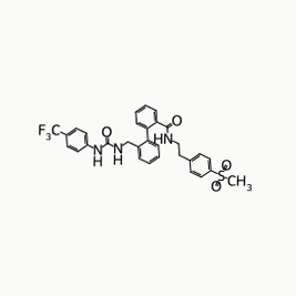 CS(=O)(=O)c1ccc(CCNC(=O)c2ccccc2-c2ccccc2CNC(=O)Nc2ccc(C(F)(F)F)cc2)cc1